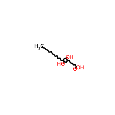 CCCCCCCCCCCCCCc1cc(O)c(CCCCCC(=O)O)cc1O